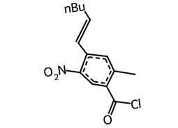 CCCC/C=C/c1cc(C)c(C(=O)Cl)cc1[N+](=O)[O-]